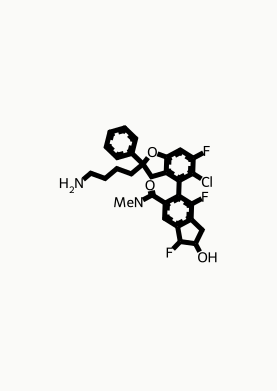 CNC(=O)c1cc2c(c(F)c1-c1c(Cl)c(F)cc3c1CC(CCCCN)(c1ccccc1)O3)CC(O)C2F